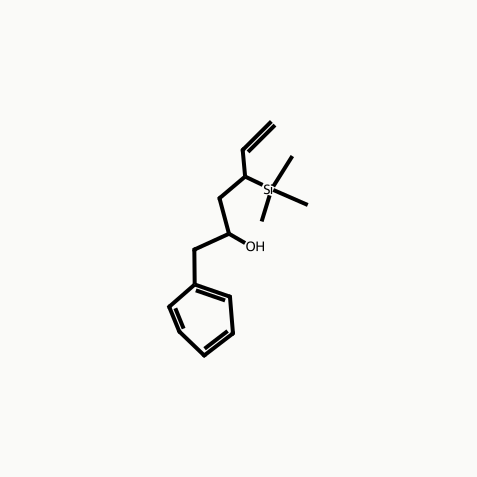 C=CC(CC(O)Cc1ccccc1)[Si](C)(C)C